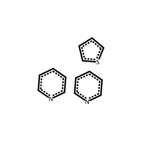 c1ccncc1.c1ccncc1.c1ccsc1